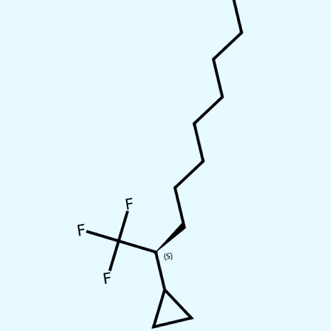 CCCCCCCC[C@@H](C1CC1)C(F)(F)F